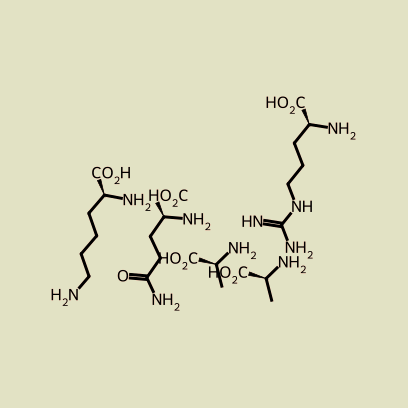 C[C@H](N)C(=O)O.C[C@H](N)C(=O)O.N=C(N)NCCC[C@H](N)C(=O)O.NC(=O)CC[C@H](N)C(=O)O.NCCCC[C@H](N)C(=O)O